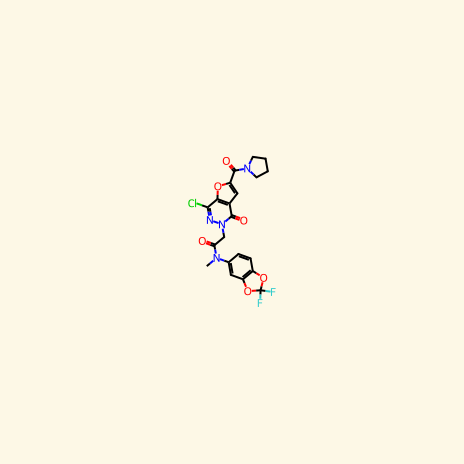 CN(C(=O)Cn1nc(Cl)c2oc(C(=O)N3CCCC3)cc2c1=O)c1ccc2c(c1)OC(F)(F)O2